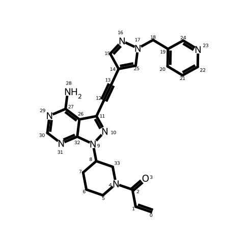 C=CC(=O)N1CCCC(n2nc(C#Cc3cnn(Cc4cccnc4)c3)c3c(N)ncnc32)C1